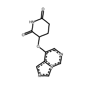 O=C1CCC(Oc2cncn3cncc23)C(=O)N1